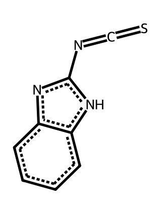 S=C=Nc1nc2ccccc2[nH]1